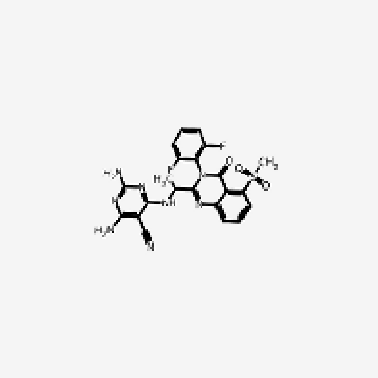 CC(Nc1nc(N)nc(N)c1C#N)c1nc2cccc(S(C)(=O)=O)c2c(=O)n1-c1c(F)cccc1F